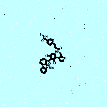 CCNC(=O)c1ccc(C=CC(=O)NCc2[nH]ccc2-c2ccc(Cl)c(CO[Si](c3ccccc3)(c3ccccc3)C(C)(C)C)c2Cl)cc1